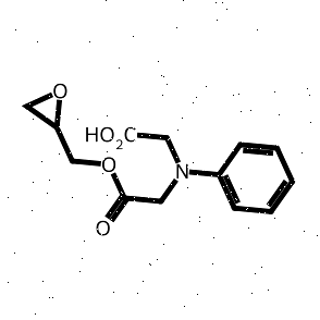 O=C(O)CN(CC(=O)OCC1CO1)c1ccccc1